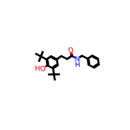 CC(C)(C)c1cc(CCC(=O)NCc2ccccc2)cc(C(C)(C)C)c1O